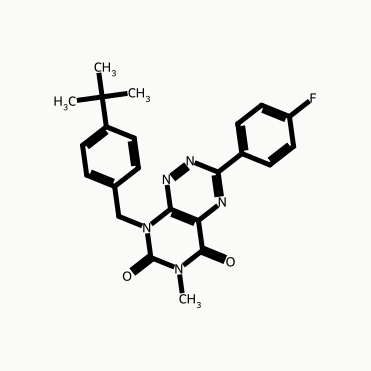 Cn1c(=O)c2nc(-c3ccc(F)cc3)nnc2n(Cc2ccc(C(C)(C)C)cc2)c1=O